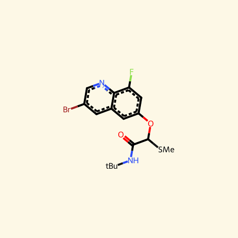 CSC(Oc1cc(F)c2ncc(Br)cc2c1)C(=O)NC(C)(C)C